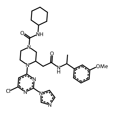 COc1cccc(C(C)NC(=O)CC2CN(C(=O)NC3CCCCC3)CCN2c2cc(Cl)nc(-n3ccnc3)n2)c1